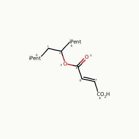 CCCC(C)CC(OC(=O)C=CC(=O)O)C(C)CCC